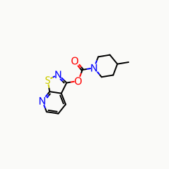 CC1CCN(C(=O)Oc2nsc3ncccc23)CC1